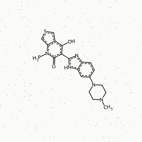 CN1CCN(c2ccc3nc(-c4c(O)c5cscc5n(P)c4=O)[nH]c3c2)CC1